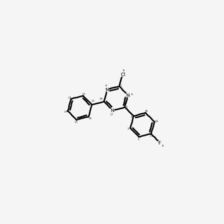 Fc1ccc(-c2nc(Cl)nc(-c3ccccc3)n2)cc1